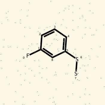 Fc1cccc(S[S])c1